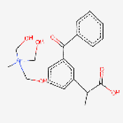 CC(C(=O)O)c1cccc(C(=O)c2ccccc2)c1.C[N+](CO)(CO)CO